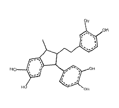 CC1c2cc(O)c(O)cc2C(c2ccc(O)c(O)c2)C1CCc1ccc(O)c(O)c1